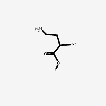 CC(C)C(CCN)C(=O)OI